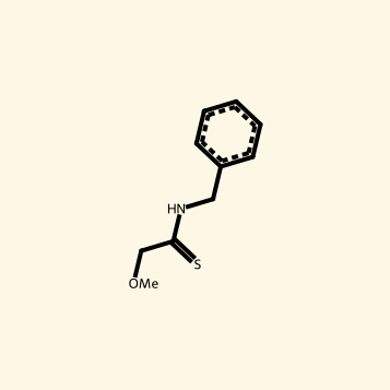 COCC(=S)NCc1ccccc1